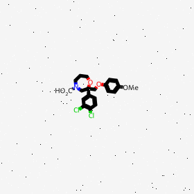 COc1ccc(OCC2(c3ccc(Cl)c(Cl)c3)CN(C(=O)O)CCCO2)cc1